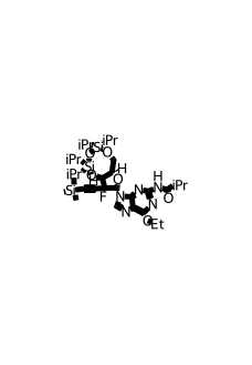 CCOc1nc(NC(=O)C(C)C)nc2c1ncn2[C@@H]1O[C@@H]2CO[Si](C(C)C)(C(C)C)O[Si](C(C)C)(C(C)C)O[C@H]2[C@]1(F)C#C[Si](C)(C)C